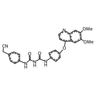 COc1cc2nccc(Oc3ccc(NC(=O)NC(=O)Nc4ccc(CC#N)cc4)cc3)c2cc1OC